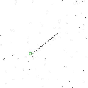 [CH2]C=CCCCCCCCCCCCCCCCCl